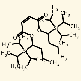 CCCC(OC(=O)/C=C\C(=O)OC(CCC)[Si](C(C)C)(C(C)C)C(C)C)[Si](C(C)C)(C(C)C)C(C)C